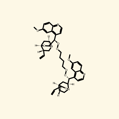 C=C[C@H]1CN2CC[C@H]1C[C@H]2[C@H](OOCCCCOO[C@H](c1ccnc2ccc(OC)cc12)[C@@H]1C[C@@H]2CCN1C[C@@H]2C=C)c1ccnc2ccc(OC)cc12